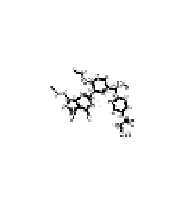 CCCc1nn(C)c2c(=O)[nH]c(-c3cc(C(OC)c4ccc(C(=O)NO)cc4)ccc3OCC)nc12